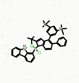 CC(C)(C)C1=Cc2c(ccc(-c3ccccc3)c2-c2cc([Si](C)(C)C)cc([Si](C)(C)C)c2)[CH]1[Zr]([Cl])([Cl])[c]1cccc2c1[SiH2]c1ccccc1-2